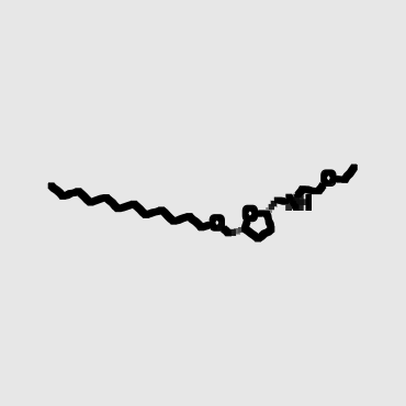 CCCCCCCCCCCCOC[C@H]1CC[C@@H](CNCCOCC)O1